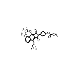 CCOc1c2c(c(OC(C)C)c3ccccc13)C(=O)N(c1ccc(OC(C)=O)cc1)C2=O